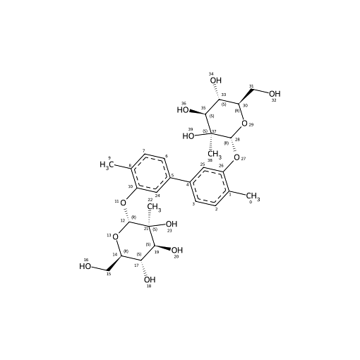 Cc1ccc(-c2ccc(C)c(O[C@H]3O[C@H](CO)[C@@H](O)[C@H](O)[C@]3(C)O)c2)cc1O[C@H]1O[C@H](CO)[C@@H](O)[C@H](O)[C@]1(C)O